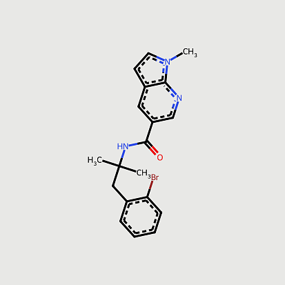 Cn1ccc2cc(C(=O)NC(C)(C)Cc3ccccc3Br)cnc21